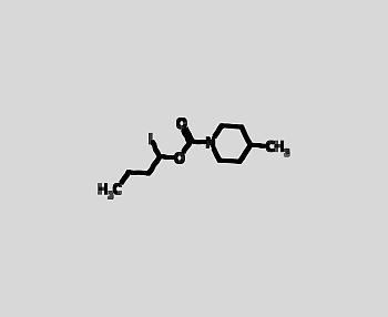 CCCC(I)OC(=O)N1CCC(C)CC1